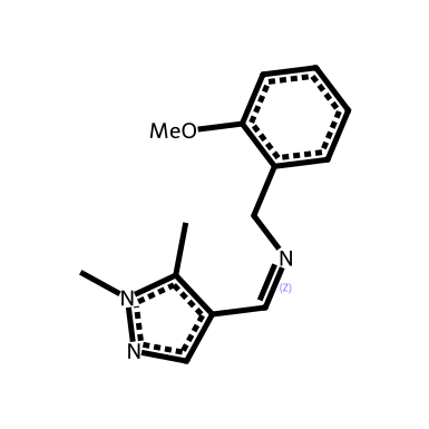 COc1ccccc1C/N=C\c1cnn(C)c1C